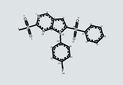 CS(=O)(=O)c1ncc2cc(S(=O)(=O)c3ccccc3)n(-c3ccc(F)cc3)c2n1